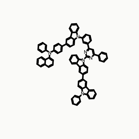 c1ccc(-c2cc(-c3cccc(-n4c5ccccc5c5cc(-c6ccc(N(c7ccccc7)c7cccc8ccccc78)cc6)ccc54)c3)nc(-n3c4ccccc4c4cc(-c5ccc6c(c5)c5ccccc5n6-c5ccccc5)ccc43)n2)cc1